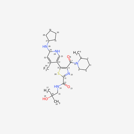 CC1CCCCN1C(=O)c1nc(C(=O)NCC(C)(C)O)sc1C1=CNC(NC2CCCC2)C=C1C(F)(F)F